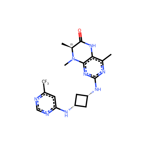 Cc1nc(N[C@H]2C[C@@H](Nc3cc(C(F)(F)F)ncn3)C2)nc2c1NC(=O)[C@H](C)N2C